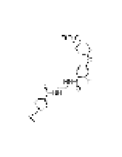 CCOC(=O)[C@H]1CC[C@@H](Oc2ccc(C(=O)NCCNC(=O)c3ccc(C4CC4)cc3)c(Cl)c2)CC1